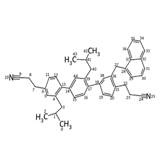 CC(C)Cc1cc(CCC#N)ccc1-c1ccc(-c2ccc(CCC#N)c(Cc3cccc4ccccc34)c2)c(CC(C)C)c1